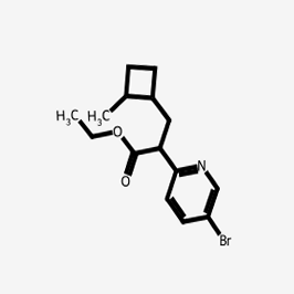 CCOC(=O)C(CC1CCC1C)c1ccc(Br)cn1